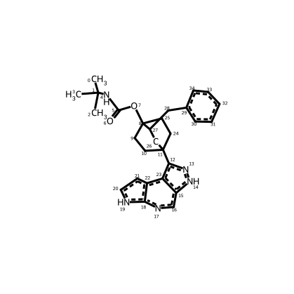 CC(C)(C)NC(=O)OC12CCC(c3n[nH]c4cnc5[nH]ccc5c34)(CC1)CC2Cc1ccccc1